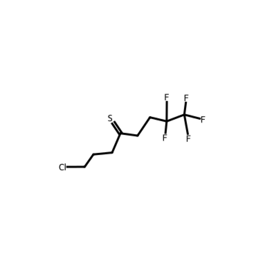 FC(F)(F)C(F)(F)CCC(=S)CCCCl